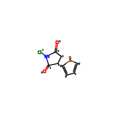 O=C1CCC(=O)N1Cl.c1ccsc1